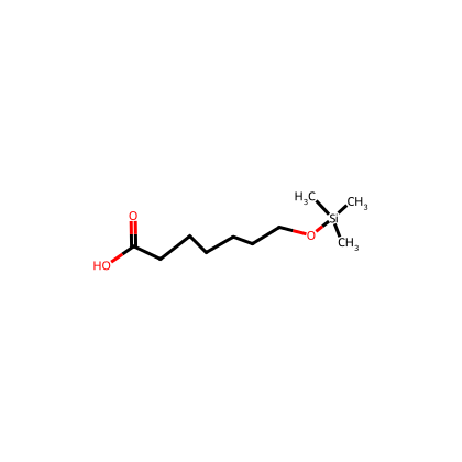 C[Si](C)(C)OCCCCCCC(=O)O